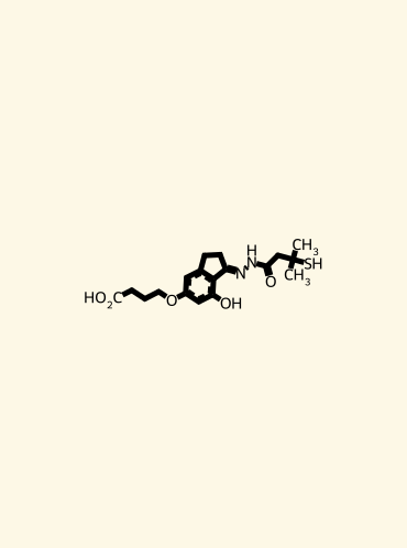 CC(C)(S)CC(=O)NN=C1CCc2cc(OCCCC(=O)O)cc(O)c21